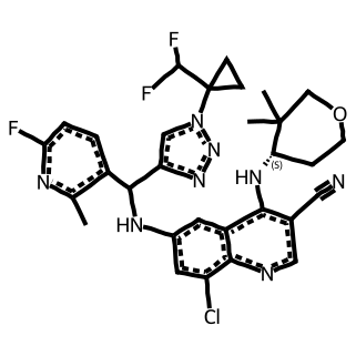 Cc1nc(F)ccc1C(Nc1cc(Cl)c2ncc(C#N)c(N[C@H]3CCOCC3(C)C)c2c1)c1cn(C2(C(F)F)CC2)nn1